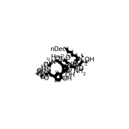 CCCCCCCCCCCCCCCC(=O)N(C)[C@H](CO)C(=O)N[C@H](N)C(=O)NCC(=O)N(C)[C@@H]1C(=O)N[C@@H](C)C(=O)N[C@H](C(=O)NS(C)(=O)=O)Cc2ccc(O)c(c2)-c2cc1ccc2O